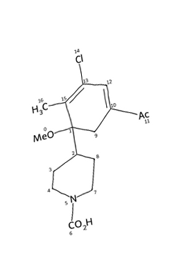 COC1(C2CCN(C(=O)O)CC2)CC(C(C)=O)=CC(Cl)=C1C